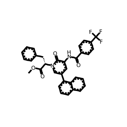 COC(=O)[C@H](Cc1ccccc1)n1cc(-c2cccc3ccccc23)cc(NC(=O)c2ccc(C(F)(F)F)cc2)c1=O